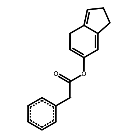 O=C([CH]c1ccccc1)OC1=CCC2=CCCC2=C1